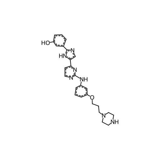 Oc1cccc(-c2ncc(-c3ccnc(Nc4cccc(OCCCN5CCNCC5)c4)n3)[nH]2)c1